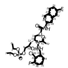 CCOP(=O)(OCC)OC[C@H](O)C[C@H](COC(=O)Nc1cc2cc(F)ccc2cn1)N(NCc1cccc(F)c1Cl)C(C)=O